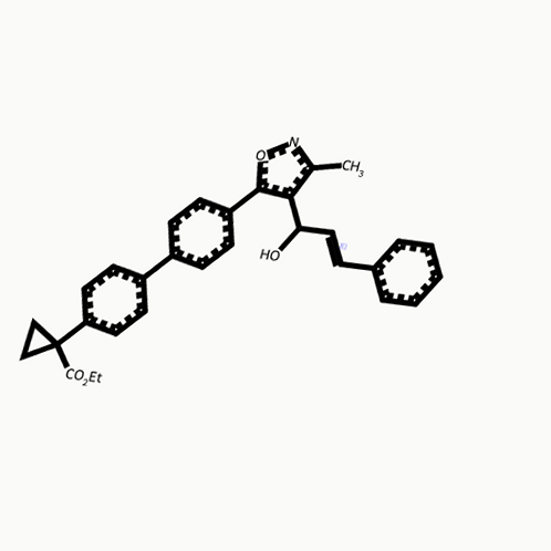 CCOC(=O)C1(c2ccc(-c3ccc(-c4onc(C)c4C(O)/C=C/c4ccccc4)cc3)cc2)CC1